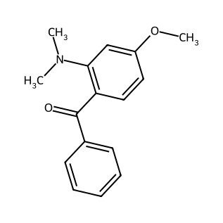 COc1ccc(C(=O)c2ccccc2)c(N(C)C)c1